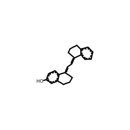 Oc1ccc2c(c1)CCC/C2=C\C=C1/CCCc2ccccc21